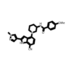 COc1ccc(C(=O)NC2CCCN(c3ccc(C#N)c4[nH]c(-c5cnn(C)c5)cc34)C2)cc1